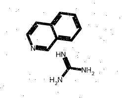 N=C(N)N.c1ccc2cnccc2c1